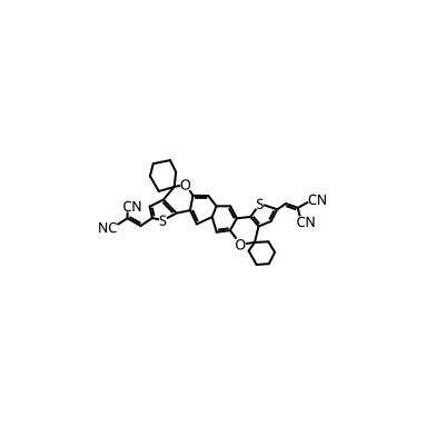 N#CC(C#N)=Cc1cc2c(s1)C1=CC3C=C4OC5(CCCCC5)c5cc(C=C(C#N)C#N)sc5C4=CC3C=C1OC21CCCCC1